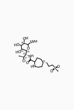 CSC1O[C@H]([C@H](NC(=O)C2CC[C@H](CCCS(C)(=O)=O)CCN2)[C@H](C)Cl)[C@@H](O)C(O)[C@H]1O